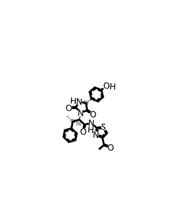 CC(=O)c1csc(NC(=O)[C@H]([C@@H](C)c2ccccc2)N2C(=O)N[C@H](c3ccc(O)cc3)C2=O)n1